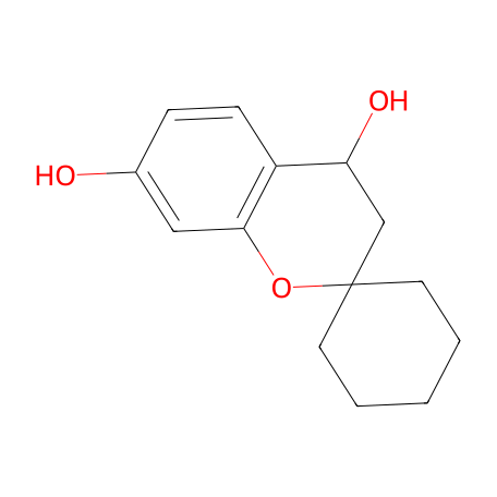 Oc1ccc2c(c1)OC1(CCCCC1)CC2O